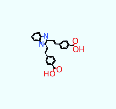 O=C(O)c1ccc(C=Cc2nc3ccccc3nc2C=Cc2ccc(C(=O)O)cc2)cc1